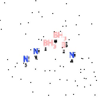 B.B.[B].[N].[N].[N]